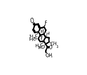 C[C@H]1C[C@H]2[C@@H]3C[C@H](F)C4=CC(=O)C=C[C@]4(C)C3(F)[C@@H](O)C[C@]2(C)[C@@]1(O)C(=O)CO